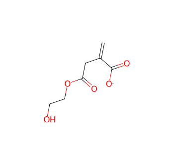 C=C(CC(=O)OCCO)C([O])=O